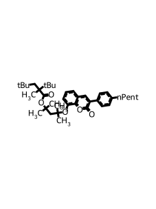 CCCCCc1ccc(-c2cc3cccc(OC(C)(C)CC(C)(C)OC(=O)C(C)(CC(C)(C)C)C(C)(C)C)c3oc2=O)cc1